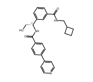 O=C(NCC1CCC1)c1cccc([C@@H](CO)NC(=O)c2ccc(-c3ccncc3)cc2)c1